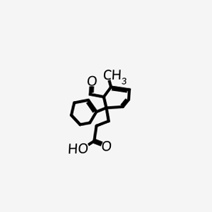 CC1=CC=CC(CCC(=O)O)(C2=CCCCC2)C1C=O